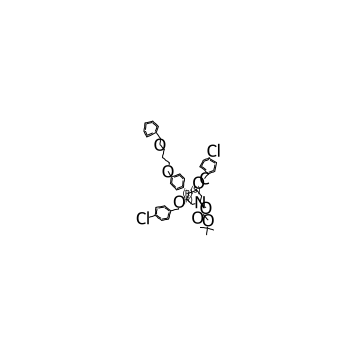 CC(C)(C)OC(=O)ON1C[C@H](OCc2ccc(Cl)cc2)[C@H](c2ccc(OCCCOCc3ccccc3)cc2)[C@H](OCc2ccc(Cl)cc2)C1